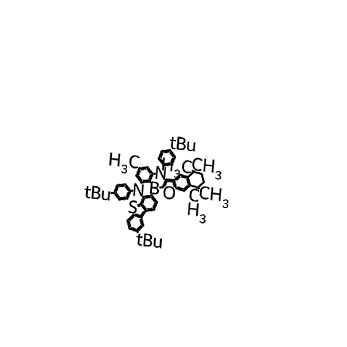 Cc1cc2c3c(c1)N(c1ccc(C(C)(C)C)cc1)c1c(ccc4c1sc1ccc(C(C)(C)C)cc14)B3c1oc3cc4c(cc3c1N2c1ccc(C(C)(C)C)cc1)C(C)(C)CCC4(C)C